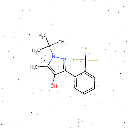 Cc1c(O)c(-c2ccccc2C(F)(F)F)nn1C(C)(C)C